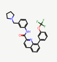 O=C(Nc1cccc(CN2CCCC2)c1)c1ccc2cccc(-c3cccc(OC(F)(F)F)c3)c2n1